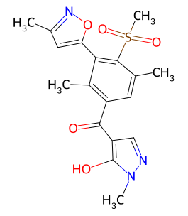 Cc1cc(-c2c(C)c(C(=O)c3cnn(C)c3O)cc(C)c2S(C)(=O)=O)on1